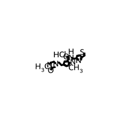 Cc1cc(CCN2CCN(C)C(=O)C2)cc2c(=O)[nH]c(-c3cc4sccc4cn3)nc12.Cl